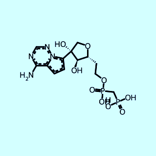 Nc1ncnn2c([C@@]3(O)CO[C@H](CCOP(=O)(O)CP(=O)(O)O)[C@H]3O)ccc12